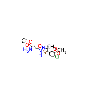 Cc1nc(NC(=O)CC[C@@H](N)C(=O)OC2CCCC2)sc1-c1ccc(Cl)c(S(C)(=O)=O)c1